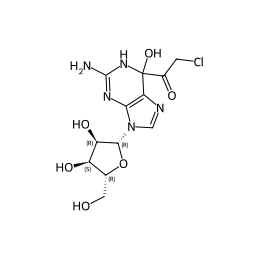 NC1=Nc2c(ncn2[C@@H]2O[C@H](CO)[C@@H](O)[C@H]2O)C(O)(C(=O)CCl)N1